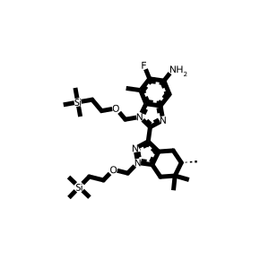 Cc1c(F)c(N)cc2nc(-c3nn(COCC[Si](C)(C)C)c4c3C[C@H](C)C(C)(C)C4)n(COCC[Si](C)(C)C)c12